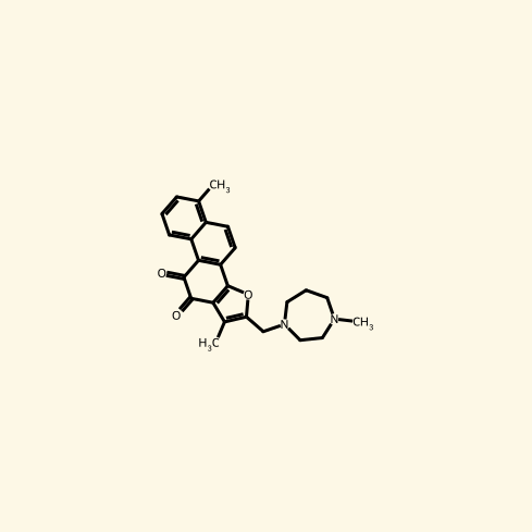 Cc1c(CN2CCCN(C)CC2)oc2c1C(=O)C(=O)c1c-2ccc2c(C)cccc12